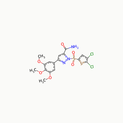 COc1cc(-c2cc(C(N)=O)n(S(=O)(=O)c3cc(Cl)c(Cl)s3)n2)cc(OC)c1OC